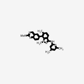 CNc1ncc2cc(-c3c(C)ccc4c(Nc5cc(C)cc(C)n5)nn(C)c34)ccc2n1